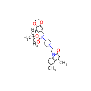 Cc1ccc2c(c1)c(C)cc(=O)n2CCN1CCC(N(Cc2ccc3c(c2)OCCO3)C(=O)OC(C)(C)C)CC1